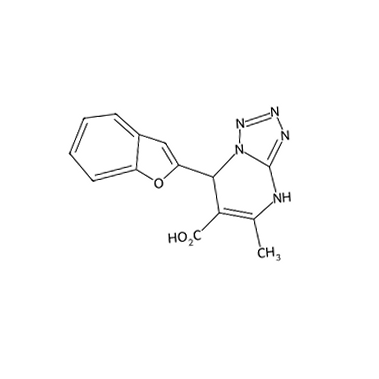 CC1=C(C(=O)O)C(c2cc3ccccc3o2)n2nnnc2N1